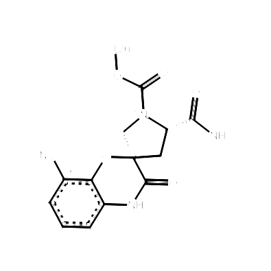 CC(C)(C)OC(=O)N1C[C@@]2(C[C@H]1C(N)=O)Oc1c(C#N)cccc1NC2=O